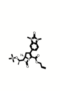 C=CCOC(=O)C1=C(c2ccc3c(c2)n(C)c(=O)n3C)C[C@@H]2[C@@H]([C@@H](C)O[Si](C)(C)C)C(=O)N12